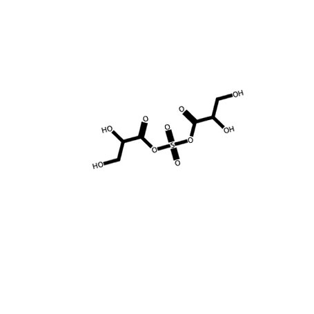 O=C(OS(=O)(=O)OC(=O)C(O)CO)C(O)CO